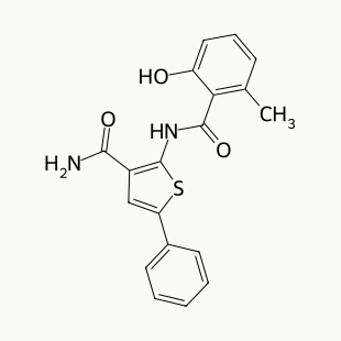 Cc1cccc(O)c1C(=O)Nc1sc(-c2ccccc2)cc1C(N)=O